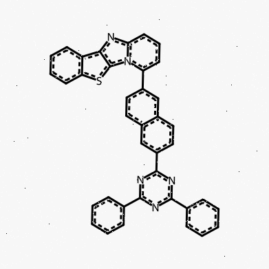 c1ccc(-c2nc(-c3ccccc3)nc(-c3ccc4cc(-c5cccc6nc7c8ccccc8sc7n56)ccc4c3)n2)cc1